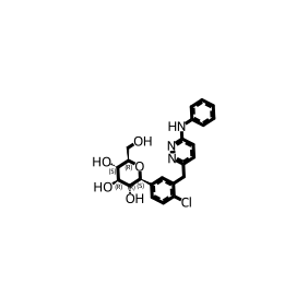 OC[C@H]1O[C@@H](c2ccc(Cl)c(Cc3ccc(Nc4ccccc4)nn3)c2)[C@H](O)[C@@H](O)[C@@H]1O